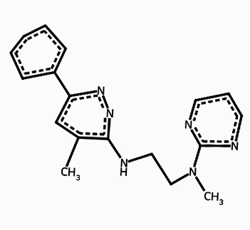 Cc1cc(-c2ccccc2)nnc1NCCN(C)c1ncccn1